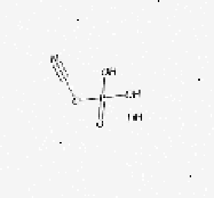 N#COP(=O)(O)O.[LiH]